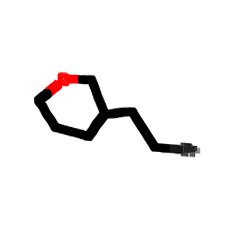 C[C](C)CCC1CCCOC1